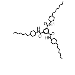 CCCCCCCC1CCC(NC(=O)c2cc(C(=O)NC3CCC(CCCCCCC)CC3)cc(C(=O)NC3CCC(CCCCCCC)CC3)c2)CC1